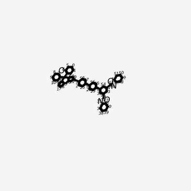 c1ccc2c(c1)Oc1ccccc1C21c2ccccc2-c2cc(-c3ccc(-c4ccc(-c5cc(-c6nc7ccccc7o6)cc(-c6nc7ccccc7o6)c5)cc4)cc3)ccc21